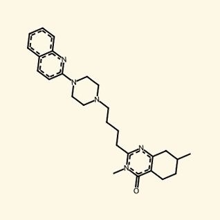 CC1CCc2c(nc(CCCCN3CCN(c4ccc5ccccc5n4)CC3)n(C)c2=O)C1